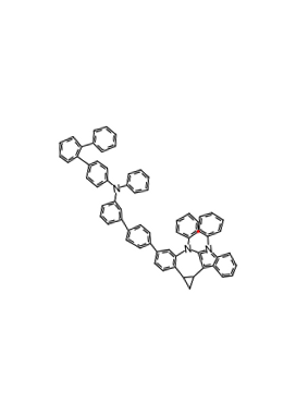 c1ccc(-c2ccccc2-c2ccc(N(c3ccccc3)c3cccc(-c4ccc(-c5ccc6c(c5)N(c5ccccc5)c5c(c7ccccc7n5-c5ccccc5)C5CC65)cc4)c3)cc2)cc1